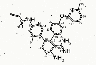 C=CC(=O)Nc1cc(C)c(-c2ccc(N)c(C(=N)N)c2-c2ccc(Oc3cccc(C)n3)cc2)cn1